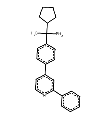 BC(B)(c1ccc(-c2ccnc(-c3ccccc3)c2)cc1)C1CCCC1